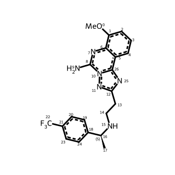 COc1cccc2c1nc(N)n1nc(CCN[C@@H](C)c3ccc(C(F)(F)F)cc3)nc21